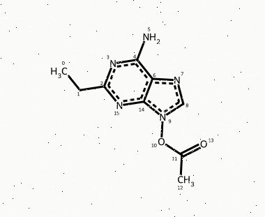 CCc1nc(N)c2ncn(OC(C)=O)c2n1